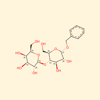 OC[C@H]1O[C@@H](O[C@H]2[C@H](O)[C@@H](O)[C@@H](OCc3ccccc3)O[C@@H]2CO)[C@H](O)[C@@H](O)[C@H]1O